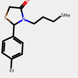 CCc1ccc(C2SCC(=O)N2CCCSC)cc1